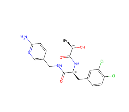 CC(C)[C@@H](O)C(=O)N[C@@H](Cc1ccc(Cl)c(Cl)c1)C(=O)NCc1ccc(N)nc1